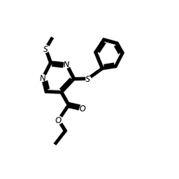 CCOC(=O)c1cnc(SC)nc1Sc1ccccc1